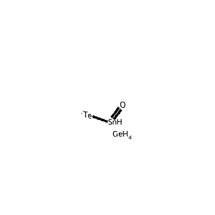 [GeH4].[O]=[SnH][Te]